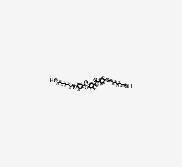 Cc1cc(OC(=O)c2ccc(OCCCCCCCCO)cc2)ccc1OC(=O)c1ccc(OCCCCCCCCO)cc1